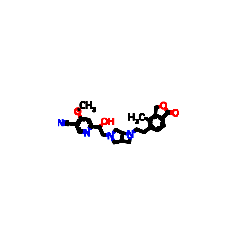 COc1cc(C(O)CN2CC3CN(CCc4ccc5c(c4C)COC5=O)C3C2)ncc1C#N